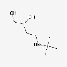 CC(C)(C)NCCC(O)CO